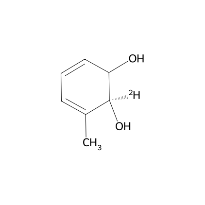 [2H][C@]1(O)C(C)=CC=CC1O